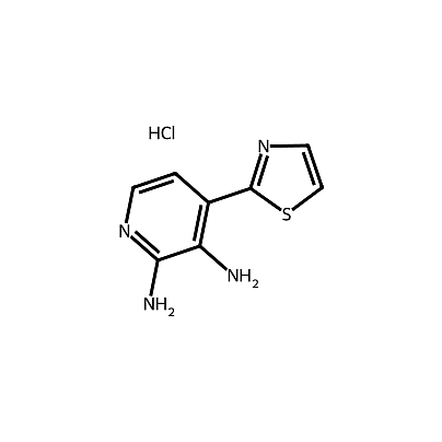 Cl.Nc1nccc(-c2nccs2)c1N